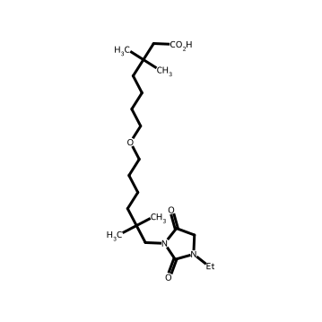 CCN1CC(=O)N(CC(C)(C)CCCCOCCCCC(C)(C)CC(=O)O)C1=O